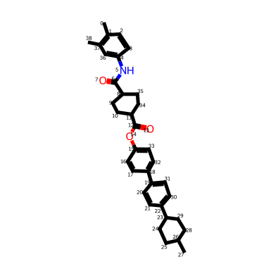 Cc1ccc(NC(=O)C2CCC(C(=O)Oc3ccc(-c4ccc(C5CCC(C)CC5)cc4)cc3)CC2)cc1C